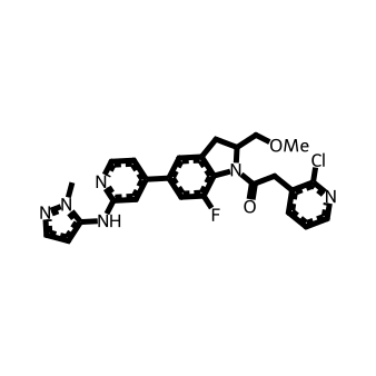 COCC1Cc2cc(-c3ccnc(Nc4ccnn4C)c3)cc(F)c2N1C(=O)Cc1cccnc1Cl